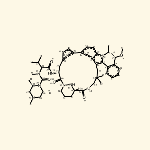 CCn1c(-c2cccnc2[C@H](C)OC)c2c3cc(ccc31)-c1csc(n1)C[C@H](NC(=O)C(C(C)C)N(C)C(=O)N1[C@H](C)CN(C)C[C@H]1C)C(=O)N1CCC[C@H](N1)C(=O)OCC(C)(C)C2